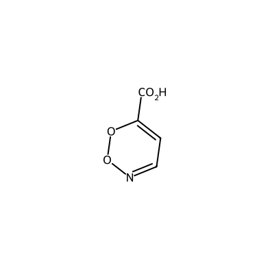 O=C(O)C1=CC=NOO1